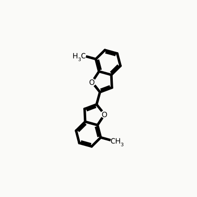 Cc1cccc2cc(-c3cc4cccc(C)c4o3)oc12